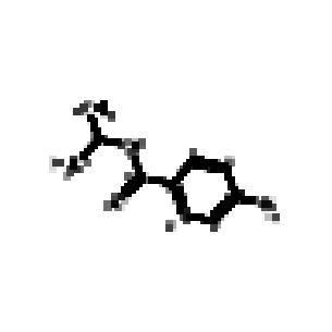 CC(C)OC(=O)c1ccc(Br)cn1